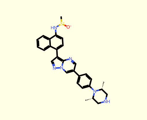 C[C@@H]1CNC[C@H](C)N1c1ccc(-c2cnc3c(-c4ccc(N[S+](C)[O-])c5ccccc45)cnn3c2)cc1